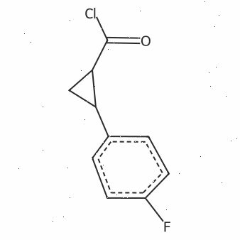 O=C(Cl)C1CC1c1ccc(F)cc1